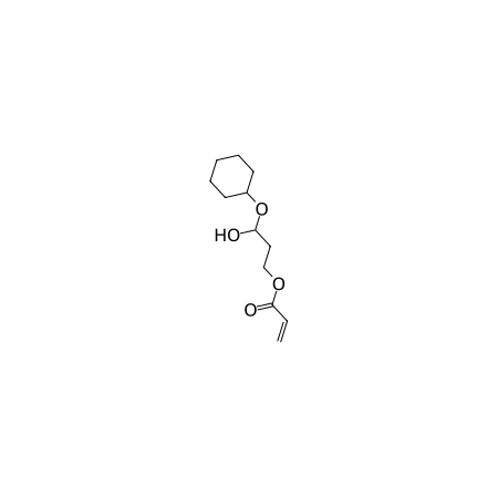 C=CC(=O)OCCC(O)OC1CCCCC1